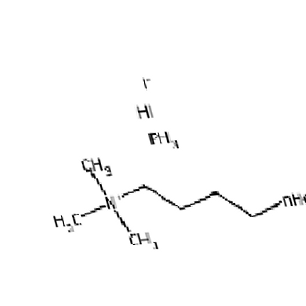 CCCCCCCCCC[N+](C)(C)C.I.P.[I-]